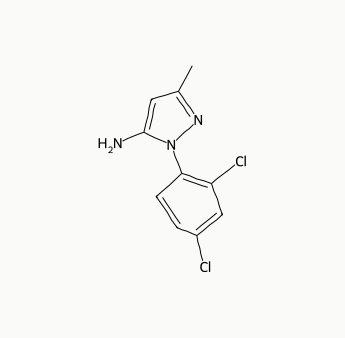 Cc1cc(N)n(-c2ccc(Cl)cc2Cl)n1